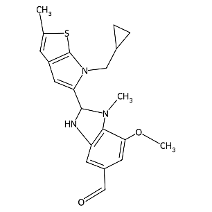 COc1cc(C=O)cc2c1N(C)C(c1cc3cc(C)sc3n1CC1CC1)N2